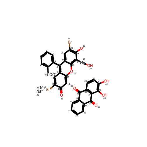 O=C([O-])c1ccccc1-c1c2cc(Br)c(=O)cc-2oc2[c]([Hg][OH])c([O-])c(Br)cc12.O=C1c2ccccc2C(=O)c2c1ccc(O)c2O.[Na+].[Na+]